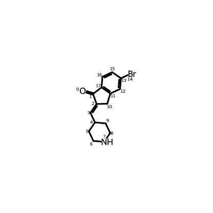 O=C1/C(=C/C2CCNCC2)Cc2cc(Br)ccc21